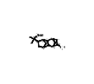 COC(C)(C)C1CC2CC1C1C3CC(O)C(C3)C21